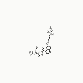 CC(C)(C)OC(=O)NCCCCOc1ccc2nccc(C(=O)NCC(=O)N3CC(F)(F)CC3C#N)c2c1